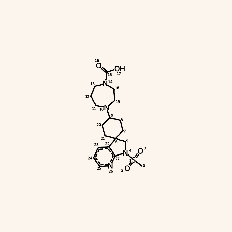 CS(=O)(=O)N1CC2(CCC(N3CCCN(C(=O)O)CC3)CC2)c2cccnc21